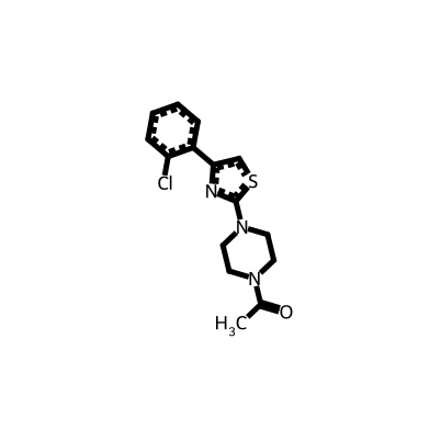 CC(=O)N1CCN(c2nc(-c3ccccc3Cl)cs2)CC1